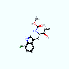 COC(=O)[C@H](Cc1c[nH]c2c(Cl)cccc12)NC(=O)OC(C)(C)C